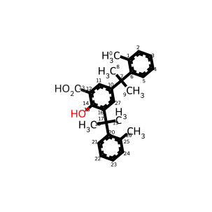 Cc1ccccc1C(C)(C)c1cc(C(=O)O)c(O)c(C(C)(C)c2ccccc2C)c1